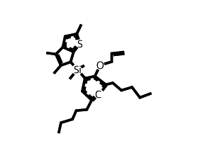 C=CCOc1c(CCCCC)cc(CCCCC)cc1[Si](C)(C)C1C(C)=C(C)c2cc(C)sc21